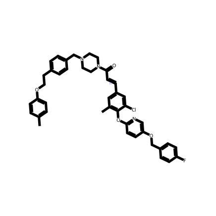 Cc1ccc(OCCc2ccc(CN3CCN(C(=O)/C=C/c4cc(C)c(Oc5ccc(OCc6ccc(F)cc6)cn5)c(Cl)c4)CC3)cc2)cc1